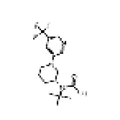 CC(C)(C)N(C(=O)O)[C@@H]1CCCN(c2cncc(C(F)(F)F)c2)C1